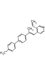 C=Cc1cnccc1/C=C(\C)c1ccc(-c2ccc(C)cc2)cc1